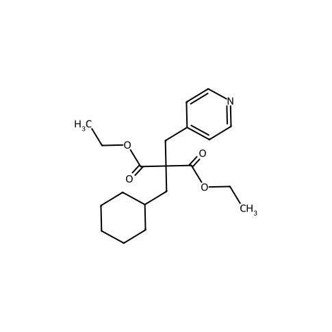 CCOC(=O)C(Cc1ccncc1)(CC1CCCCC1)C(=O)OCC